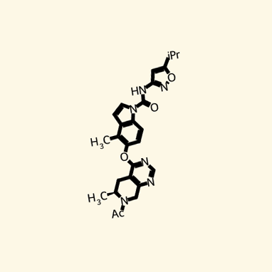 CC(=O)N1Cc2ncnc(Oc3ccc4c(ccn4C(=O)Nc4cc(C(C)C)on4)c3C)c2C[C@@H]1C